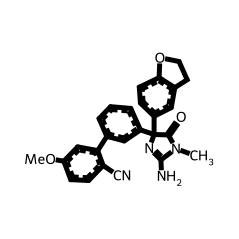 COc1ccc(C#N)c(-c2cccc(C3(c4ccc5c(c4)CCO5)N=C(N)N(C)C3=O)c2)c1